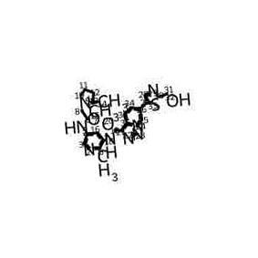 Cc1ncc(NC(=O)CN2CCCC2(C)C)cc1NC(=O)c1nnn2cc(-c3cnc(CO)s3)ccc12